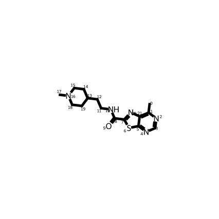 Cc1ncnc2sc(C(=O)NCCC3CCN(C)CC3)nc12